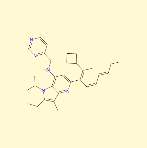 CC/C=C/C=C\C(=C(/C)C1CCC1)c1cc(NCc2ccncn2)c2c(n1)c(C)c(CC)n2C(C)C